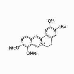 COc1ccc2cc3[n+](cc2c1OC)CCc1cc(C(C)(C)C)c(O)cc1-3